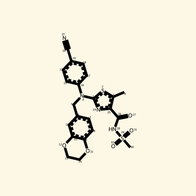 Cc1sc(N(Cc2ccc3c(c2)OCCO3)c2ccc(C#N)cc2)nc1C(=O)NS(C)(=O)=O